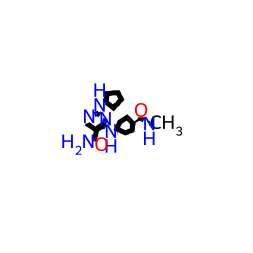 CNC(=O)[C@H]1CC[C@@H](Nc2nc(NC3CCCC3)ncc2C(N)=O)CC1